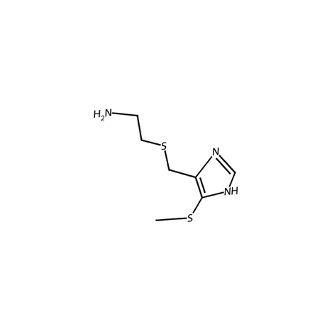 CSc1[nH]cnc1CSCCN